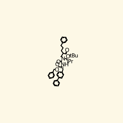 CC(C)CN(CC(CCCc1ccccc1)C(=O)OC(C)(C)C)C(=O)N[C@@H](Cc1ccc(-c2ccccc2)cc1)C(=O)OCc1ccccc1